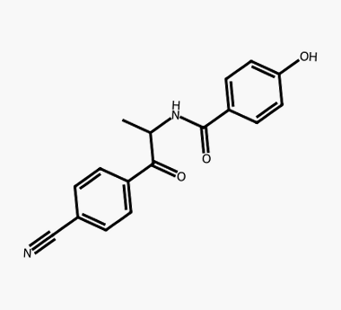 CC(NC(=O)c1ccc(O)cc1)C(=O)c1ccc(C#N)cc1